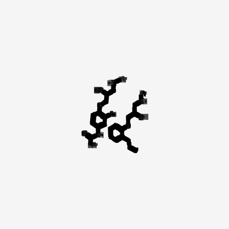 C=CCc1ccccc1OCC(O)CNC(C)C.CCCC(=O)Nc1ccc(OCC(O)CNC(C)C)c(C(C)=O)c1